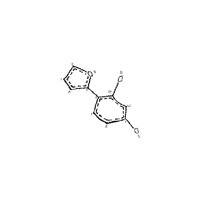 Clc1ccc(-c2cc[c]o2)c(Cl)c1